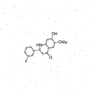 COc1cc2c(=O)cc(-c3cccc(F)c3)[nH]c2cc1O